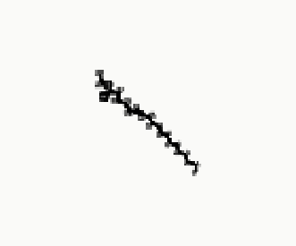 CCCCCCCCCCCCC#C/C=C/CCC(=O)OCC